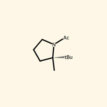 CC(=O)N1CCC[C@@]1(C)C(C)(C)C